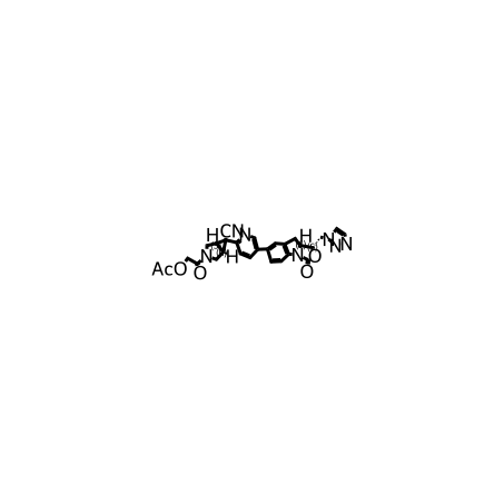 CC(=O)OCC(=O)N1C[C@@H]2[C@H](C1)C2(C#N)c1ccc(-c2ccc3c(c2)C[C@H]2[C@H](Cn4ccnn4)OC(=O)N32)cn1